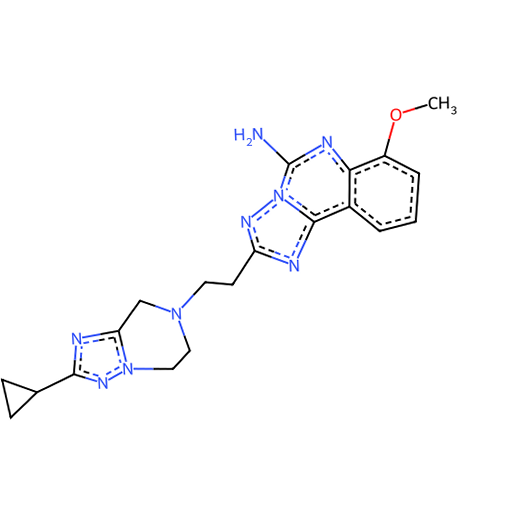 COc1cccc2c1nc(N)n1nc(CCN3CCn4nc(C5CC5)nc4C3)nc21